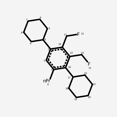 CCCc1cc(C2CCCCC2)c(CF)c(CF)c1C1CCCCC1